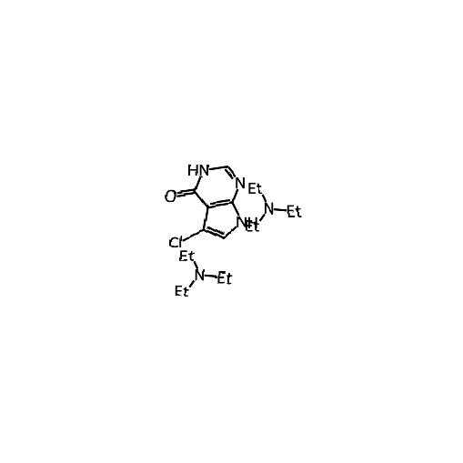 CCN(CC)CC.CCN(CC)CC.O=c1[nH]cnc2[nH]cc(Cl)c12